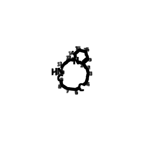 C1=C2CCCCCCCCNCCN2CCC1